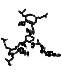 CC(=O)[O-].CC(=O)[O-].CC(C)Cc1cc(C=NC2CCCC(N=Cc3cc(CC(C)C)cc(CC(C)C)c3O)C2)c(O)c(CC(C)C)c1.[Co+2]